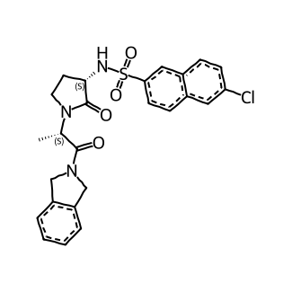 C[C@@H](C(=O)N1Cc2ccccc2C1)N1CC[C@H](NS(=O)(=O)c2ccc3cc(Cl)ccc3c2)C1=O